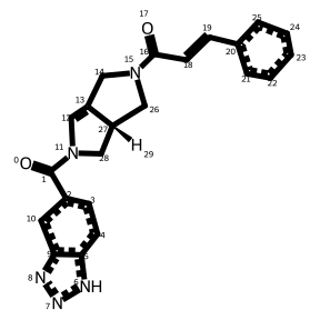 O=C(c1ccc2[nH]nnc2c1)N1C=C2CN(C(=O)C=Cc3ccccc3)C[C@@H]2C1